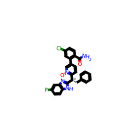 NC(=O)c1ccc(Cl)cc1-c1ccc([C@H](Cc2ccccc2)c2nc3cc(F)ccc3[nH]2)[n+]([O-])c1